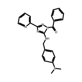 CN(C)c1ccc(CNc2nc(-c3ccccn3)nn2C(=O)c2ccccc2)cc1